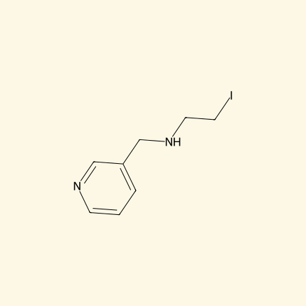 ICCNCc1cccnc1